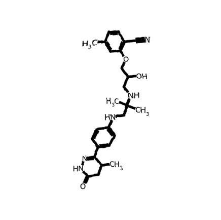 Cc1ccc(C#N)c(OCC(O)CNC(C)(C)CNc2ccc(C3=NNC(=O)CC3C)cc2)c1